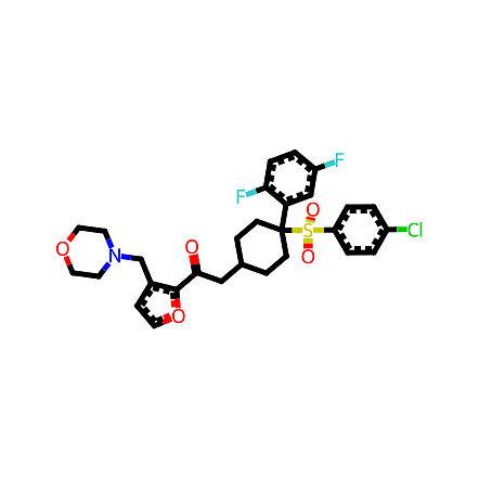 O=C(CC1CCC(c2cc(F)ccc2F)(S(=O)(=O)c2ccc(Cl)cc2)CC1)c1occc1CN1CCOCC1